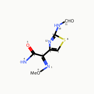 CON=C(C([NH])=O)c1csc(NC=O)n1